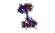 C[C@@H](C(=O)C[C@H](C(=O)N1CCC[C@H]1c1nc2c(-c3ccccc3)nccc2s1)C1CCN(C(=O)NCCCCCCNC(=O)N2CCC([C@H](NC(=O)[C@H](C)N(C)C(=O)OCC3c4ccccc4-c4ccccc43)C(=O)N3CCC[C@H]3c3nc4c(-c5ccccc5)nccc4s3)CC2)CC1)N(C)C(=O)OCC1c2ccccc2-c2ccccc21